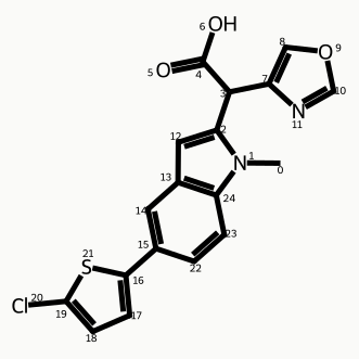 Cn1c(C(C(=O)O)c2cocn2)cc2cc(-c3ccc(Cl)s3)ccc21